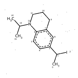 CC(I)c1ccc2c(c1)CCCN2C(C)C